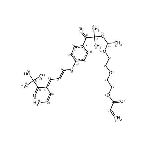 C=CC(=O)OCCOCCOC(C)OC(C)(C)C(=O)c1ccc(O/C=C/C=C(\C=C/C)C(=O)C(C)(C)O)cc1